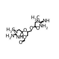 CN(CC(=O)OCC(COC=O)OC(=O)CN(C)C(=N)N)C(=N)N